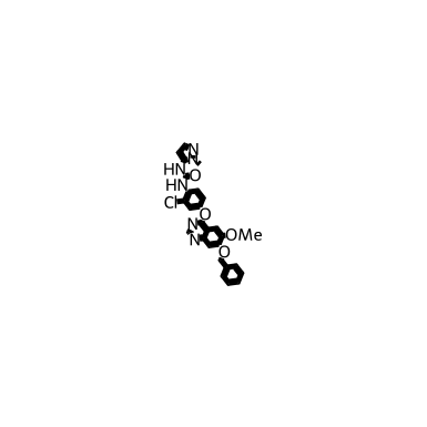 COc1cc2c(Oc3ccc(NC(=O)Nc4ccnn4C)c(Cl)c3)ncnc2cc1OCc1ccccc1